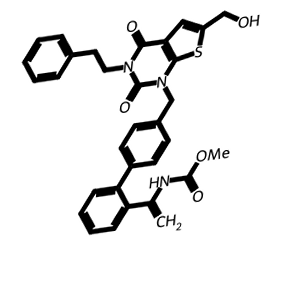 C=C(NC(=O)OC)c1ccccc1-c1ccc(Cn2c(=O)n(CCc3ccccc3)c(=O)c3cc(CO)sc32)cc1